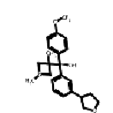 CN1CC(C)([C@](O)(c2ccc(OC(F)(F)F)cc2)c2cccc(C3CCOC3)c2)C1